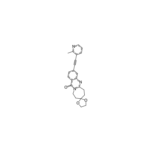 Cc1ncccc1C#Cc1ccc2c(=O)n3c(nc2c1)CCC1(CC3)OCCO1